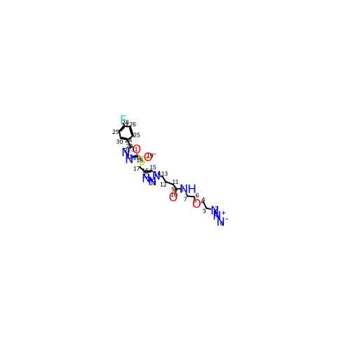 [N-]=[N+]=NCCOCCNC(=O)CCCn1cc(C[S@+]([O-])c2nnc(-c3ccc(F)cc3)o2)nn1